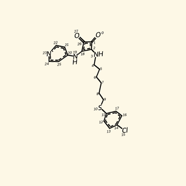 O=c1c(NCCCCCCSc2ccc(Cl)cc2)c(Nc2ccncc2)c1=O